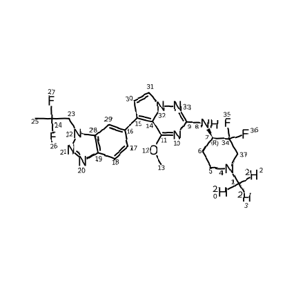 [2H]C([2H])([2H])N1CC[C@@H](Nc2nc(OC)c3c(-c4ccc5nnn(CC(C)(F)F)c5c4)ccn3n2)C(F)(F)C1